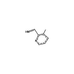 Cc1cccnc1C=N